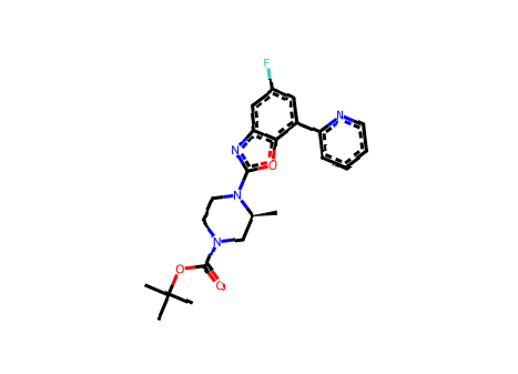 C[C@H]1CN(C(=O)OC(C)(C)C)CCN1c1nc2cc(F)cc(-c3ccccn3)c2o1